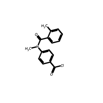 Cc1ccccc1C(=O)N(C)c1ccc(C(=O)Cl)cc1